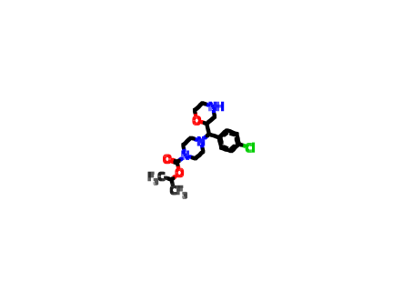 O=C(OC(C(F)(F)F)C(F)(F)F)N1CCN(C(c2ccc(Cl)cc2)C2CNCCO2)CC1